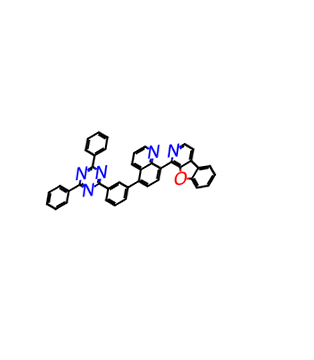 c1ccc(-c2nc(-c3ccccc3)nc(-c3cccc(-c4ccc(-c5nccc6c5oc5ccccc56)c5ncccc45)c3)n2)cc1